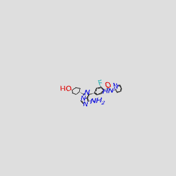 Nc1nccn2c(C3CCC(O)CC3)nc(-c3ccc(C(=O)Nc4ccccn4)c(F)c3)c12